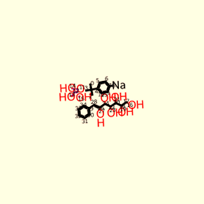 CC(C)(C)c1cc[c]([Na])cc1.O=P(O)(O)O.OCC(O)C(O)C(O)C(O)C(O)=Cc1ccccc1